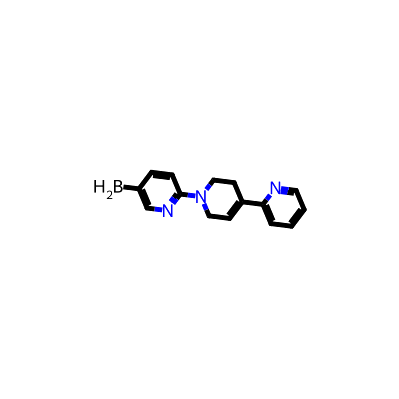 Bc1ccc(N2CC=C(c3ccccn3)CC2)nc1